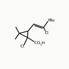 CC(C)(C)C(Cl)=CC1C(C)(C)C1(Cl)C(=O)O